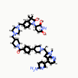 C[C@@H](c1cc2c(-c3ccc(N)nc3)ccnc2n1C)N1CCC(c2ccc(C(=O)N3CCC(CN4CCN(Cc5ccc6c(c5)C(C)(C)C(=O)N6C5CCC(=O)NC5=O)CC4)CC3)cc2)CC1